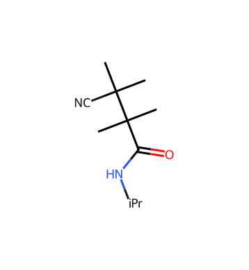 CC(C)NC(=O)C(C)(C)C(C)(C)C#N